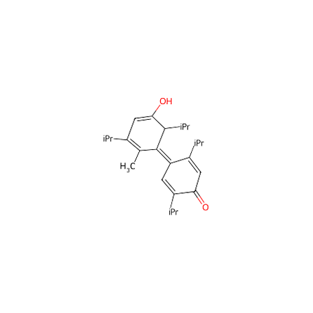 CC1=C(C(C)C)C=C(O)C(C(C)C)C1=C1C=C(C(C)C)C(=O)C=C1C(C)C